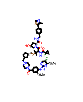 CNc1nc(Nc2ccc(C(=O)N3CCN(CC4CC[C@H](CSC(C)(C)C(NC(=O)C5(F)CC5)C(=O)N5C[C@H](O)C[C@H]5C(=O)NCc5ccc(-c6scnc6C)cc5)C4)CC3)cc2OC)ncc1Cl